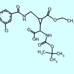 CCOC(=O)C1C(CNC(=O)c2cccc(Cl)c2)C1C(NC(=O)OC(C)(C)C)C(=O)O